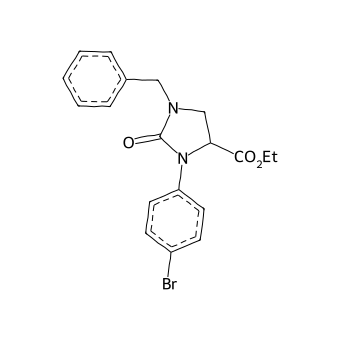 CCOC(=O)C1CN(Cc2ccccc2)C(=O)N1c1ccc(Br)cc1